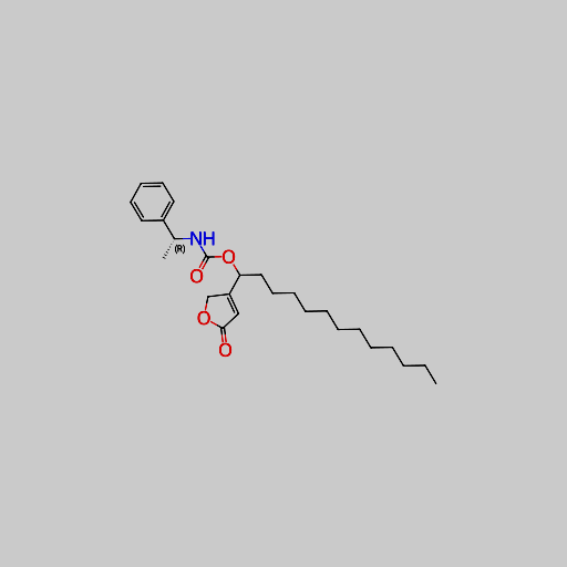 CCCCCCCCCCCCC(OC(=O)N[C@H](C)c1ccccc1)C1=CC(=O)OC1